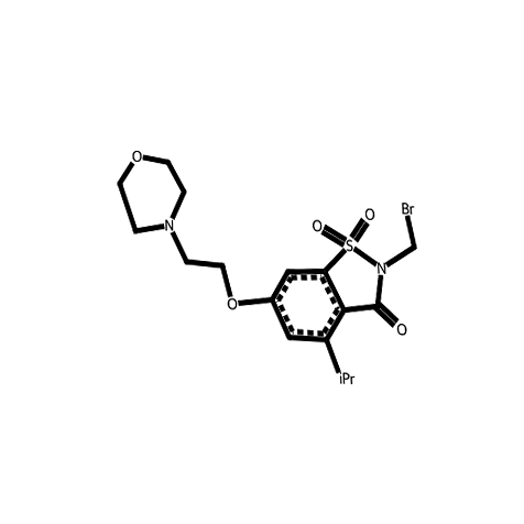 CC(C)c1cc(OCCN2CCOCC2)cc2c1C(=O)N(CBr)S2(=O)=O